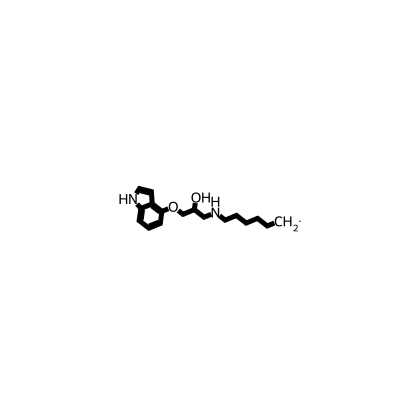 [CH2]CCCCCNCC(O)COc1cccc2[nH]ccc12